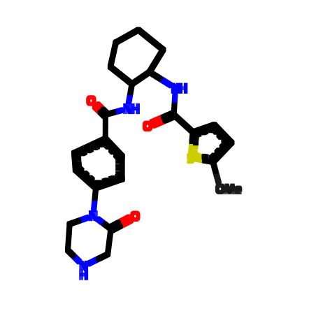 COc1ccc(C(=O)NC2CCCCC2NC(=O)c2ccc(N3CCNCC3=O)cc2)s1